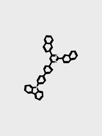 c1ccc2cc(-c3cc(-c4ccc(-c5ccc(-n6c7ccccc7c7ccccc76)cc5)cc4)nc(-c4ccc5ccccc5c4)n3)ccc2c1